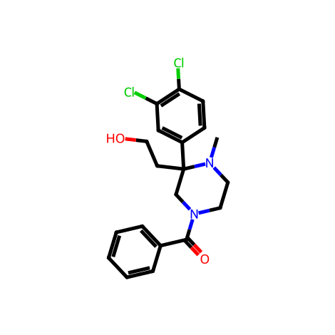 CN1CCN(C(=O)c2ccccc2)CC1(CCO)c1ccc(Cl)c(Cl)c1